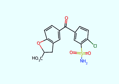 NS(=O)(=O)c1cc(C(=O)c2ccc3c(c2)CC(C(=O)O)O3)ccc1Cl